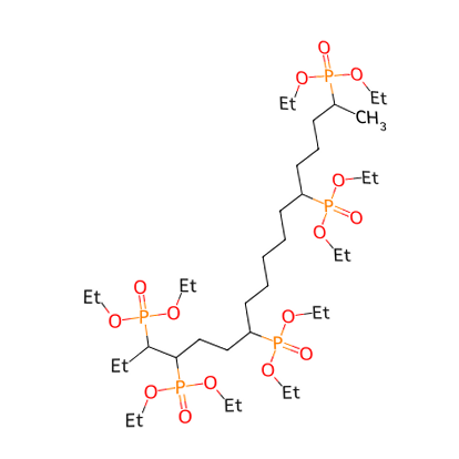 CCOP(=O)(OCC)C(C)CCCC(CCCCCC(CCC(C(CC)P(=O)(OCC)OCC)P(=O)(OCC)OCC)P(=O)(OCC)OCC)P(=O)(OCC)OCC